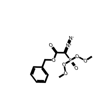 COOP(=O)(OOC)C(=[N+]=[N-])C(=O)OCc1ccccc1